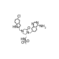 CS(=O)(=O)NC[C@@H]1CN(Cc2cc3cc(Cl)ccc3[nH]2)CC(=O)N1Cc1ccc2c(N)ncnc2c1